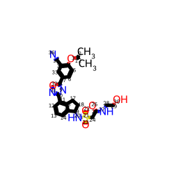 CC(C)Oc1ccc(-c2nc(-c3cccc4c3CC[C@H]4NS(=O)(=O)CC(=O)NCCO)no2)cc1C#N